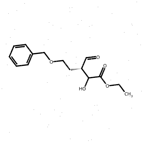 CCOC(=O)C(O)[C@@H](C=O)CCOCc1ccccc1